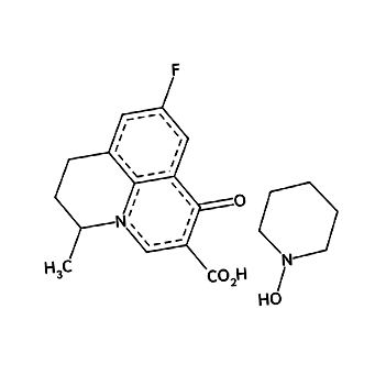 CC1CCc2cc(F)cc3c(=O)c(C(=O)O)cn1c23.ON1CCCCC1